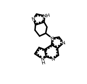 c1nc2c([nH]1)CC(n1cnc3cnc4[nH]ccc4c31)CC2